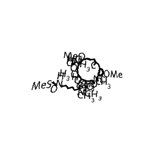 COc1cc2cc(c1Cl)N(C)C(=O)C[C@H](OC(=O)[C@H](C)N(C)C(=O)CCCCCNC(=O)CSC)C1(C)O[C@H]1[C@H](C)C1C[C@@](O)(NC(=O)O1)[C@H](OC)/C=C/C=C(\C)C2